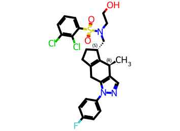 C[C@@H]1C2=C(CC[C@@H]2CN(CCO)S(=O)(=O)c2cccc(Cl)c2Cl)Cc2c1cnn2-c1ccc(F)cc1